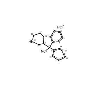 Cl.N#CC(c1ccccc1)(c1ccccc1)C1CCCNC1